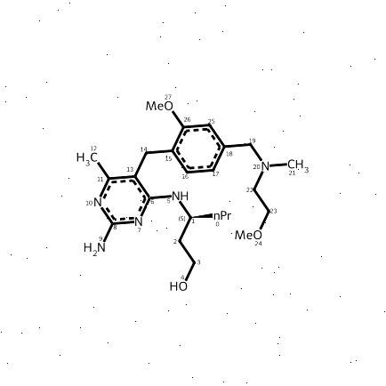 CCC[C@@H](CCO)Nc1nc(N)nc(C)c1Cc1ccc(CN(C)CCOC)cc1OC